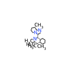 Cc1cccn2c(C3=NC(C)(C)C(C)(C)c4ccccc43)cnc12